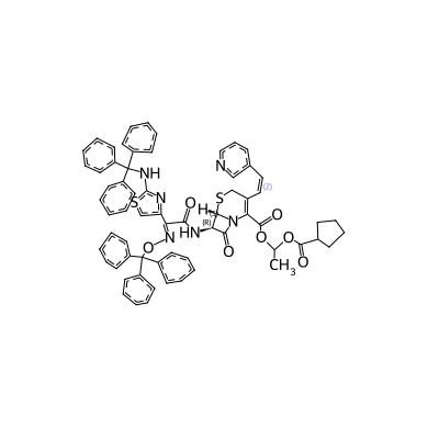 CC(OC(=O)C1=C(/C=C\c2cccnc2)CS[C@H]2[C@H](NC(=O)C(=NOC(c3ccccc3)(c3ccccc3)c3ccccc3)c3csc(NC(c4ccccc4)(c4ccccc4)c4ccccc4)n3)C(=O)N12)OC(=O)C1CCCC1